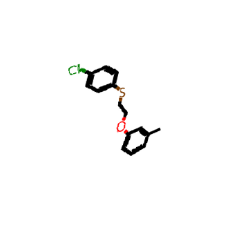 Cc1cccc(OCCSc2ccc(Cl)cc2)c1